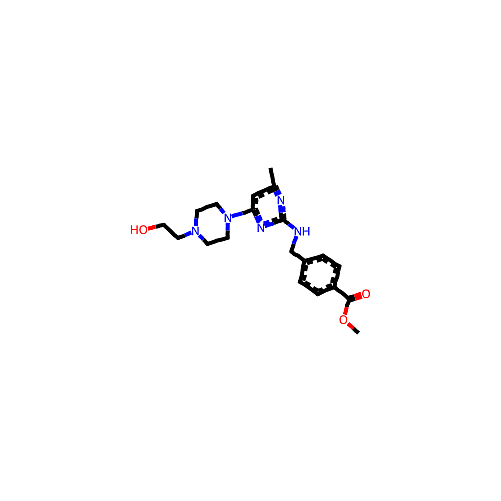 COC(=O)c1ccc(CNc2nc(C)cc(N3CCN(CCO)CC3)n2)cc1